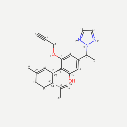 C#CCOc1cc(C(C)n2nccn2)cc(O)c1[C@@H]1C=C(C)CC[C@H]1C(=C)C